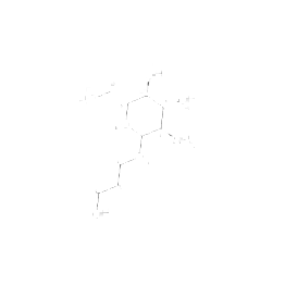 N[C@H]1C(OCCCO)O[C@H](CO)[C@@H](O)[C@@H]1O